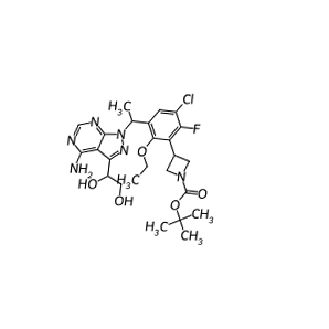 CCOc1c(C(C)n2nc(C(O)CO)c3c(N)ncnc32)cc(Cl)c(F)c1C1CN(C(=O)OC(C)(C)C)C1